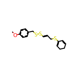 COc1ccc(CSS/C=C/CSC2=CCCC=C2)cc1